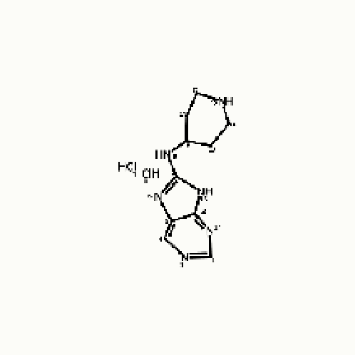 Cl.Cl.c1ncc2nc(NC3CCNCC3)[nH]c2n1